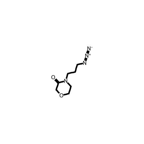 [N-]=[N+]=NCCCN1CCOCC1=O